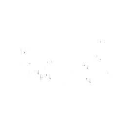 O=C(Nc1ccncc1)Nc1ccc(-c2nc(N3CCOCC3)c3sccc3n2)cc1